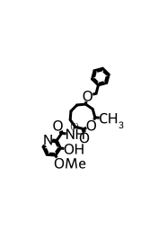 COc1ccnc(C(=O)N[C@H]2CCCC(OCc3ccccc3)CC(C)OC2=O)c1O